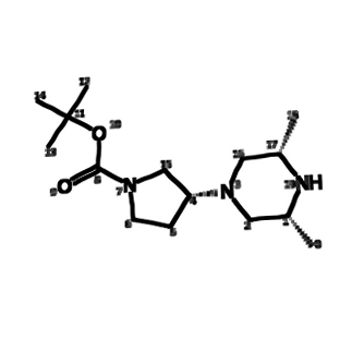 C[C@@H]1CN([C@@H]2CCN(C(=O)OC(C)(C)C)C2)C[C@H](C)N1